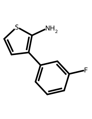 Nc1sccc1-c1cccc(F)c1